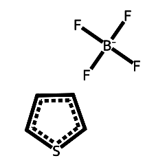 F[B-](F)(F)F.c1ccsc1